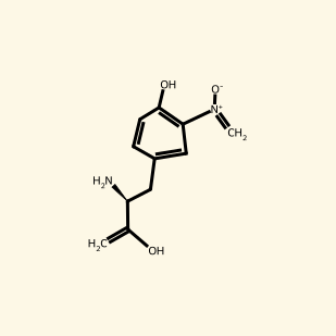 C=C(O)[C@@H](N)Cc1ccc(O)c([N+](=C)[O-])c1